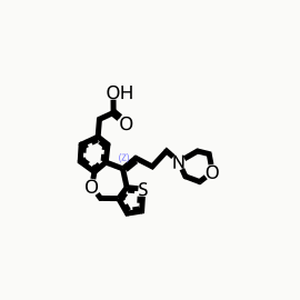 O=C(O)Cc1ccc2c(c1)/C(=C/CCN1CCOCC1)c1sccc1CO2